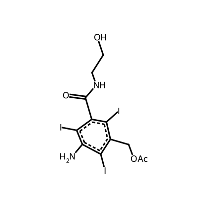 CC(=O)OCc1c(I)c(N)c(I)c(C(=O)NCCO)c1I